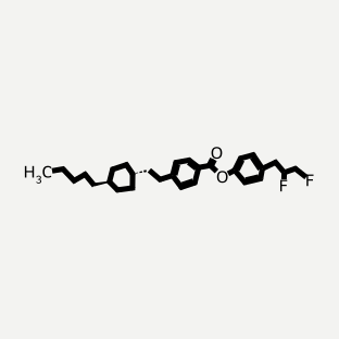 CCCCC[C@H]1CC[C@H](CCc2ccc(C(=O)Oc3ccc(CC(F)CF)cc3)cc2)CC1